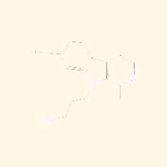 COc1ccc2c3ccnc(C)c3n(CCCN)c2c1